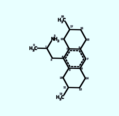 CC(N)Cc1c2c(cc3c1CC(C)CC3)CCC(C)C2